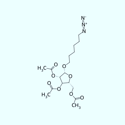 CC(=O)OC[C@H]1O[C@@H](OCCCCCCN=[N+]=[N-])[C@@H](OC(C)=O)C1OC(C)=O